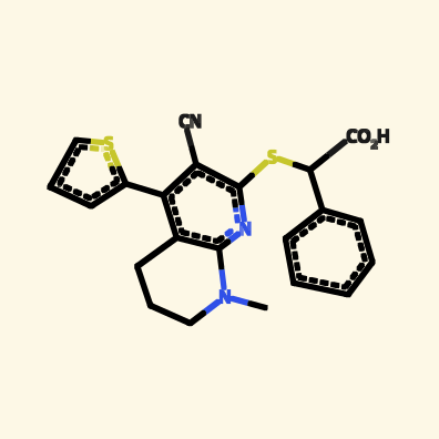 CN1CCCc2c1nc(SC(C(=O)O)c1ccccc1)c(C#N)c2-c1cccs1